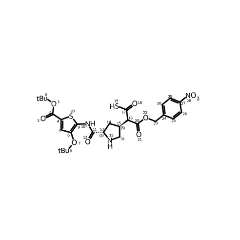 CC(C)(C)OC(=O)c1cc(OC(C)(C)C)c(NC(=O)[C@@H]2C[C@@H](C(C(=O)S)C(=O)OCc3ccc([N+](=O)[O-])cc3)CN2)s1